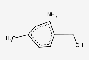 Cc1ccc(CO)cc1.N